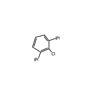 [CH2]C(C)c1cccc(C(C)C)c1Cl